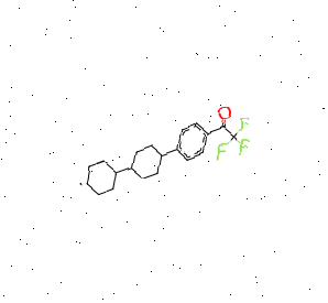 O=C(c1ccc(C2CCC(C3CC[CH]CC3)CC2)cc1)C(F)(F)F